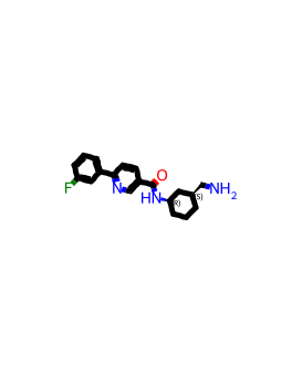 NC[C@H]1CCC[C@@H](NC(=O)c2ccc(-c3cccc(F)c3)nc2)C1